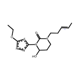 C/C=C/CCN1CCC(O)N(c2nnc(OCC)s2)C1=O